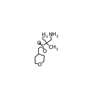 CC(C)(CN)S(=O)(=O)CC1CCOCC1